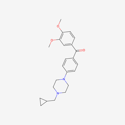 COc1ccc(C(=O)c2ccc(N3CCN(CC4CC4)CC3)cc2)cc1OC